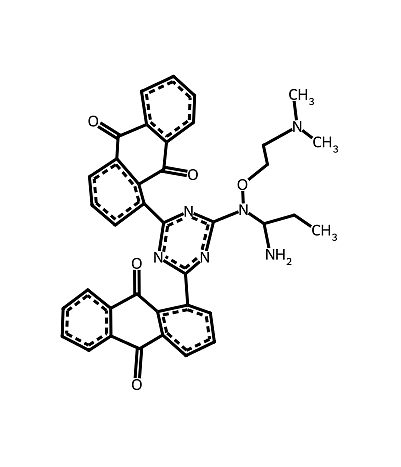 CCC(N)N(OCCN(C)C)c1nc(-c2cccc3c2C(=O)c2ccccc2C3=O)nc(-c2cccc3c2C(=O)c2ccccc2C3=O)n1